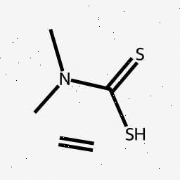 C=C.CN(C)C(=S)S